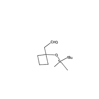 CC(C)(C)[Si](C)(C)OC1(CC=O)CCC1